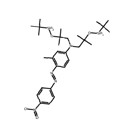 Cc1cc(N(CC(C)(C)O[SiH2]C(C)(C)C)CC(C)(C)O[SiH2]C(C)(C)C)ccc1N=Nc1ccc([N+](=O)[O-])cc1